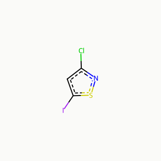 Clc1cc(I)sn1